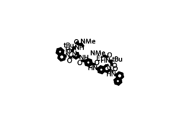 CC[C@H](NC)C(=O)N[C@H](C(=O)N1Cc2cc(NC(=O)c3ccc(C(=O)N[C@H]4C[C@@H](C(=O)NC5CCCc6ccccc65)N(C(=O)[C@@H](NC(=O)[C@H](C)NC)C(C)(C)C)C4)cc3)ccc2C[C@H]1C(=O)NC1CCCc2ccccc21)C(C)(C)C